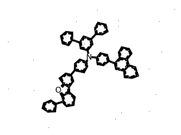 c1ccc(-c2cc(-c3ccccc3)cc(N(c3ccc(-c4ccc5oc6c(-c7ccccc7)cccc6c5c4)cc3)c3ccc(-c4cc5ccccc5c5ccccc45)cc3)c2)cc1